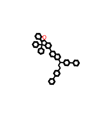 c1ccc(-c2ccc(CCC(c3ccc(-c4ccccc4)cc3)c3ccc4cc(-c5ccc6c(c5)C(c5ccccc5)(c5ccccc5)c5c-6oc6ccccc56)ccc4c3)cc2)cc1